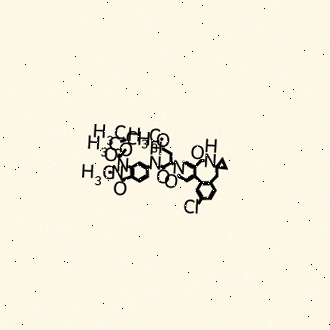 COCCC(C(=O)Nc1ccc2c(=O)n(C)n(C(=O)OC(C)(C)C)c2c1)n1cc2c(cc1=O)-c1cc(Cl)ccc1CC1(CC1)NC2=O